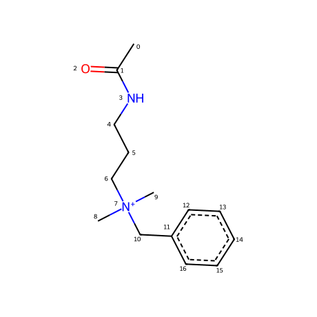 CC(=O)NCCC[N+](C)(C)Cc1ccccc1